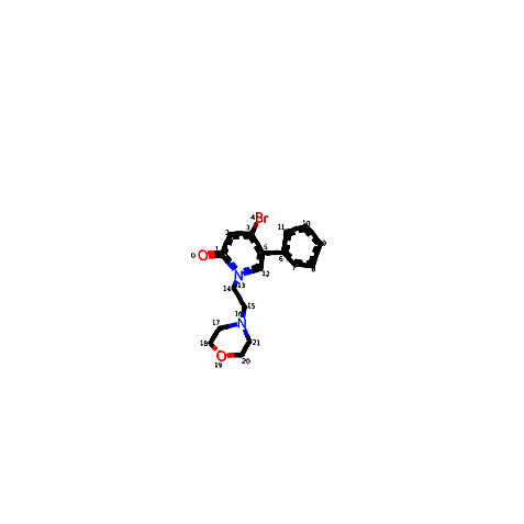 O=c1cc(Br)c(-c2ccccc2)cn1CCN1CCOCC1